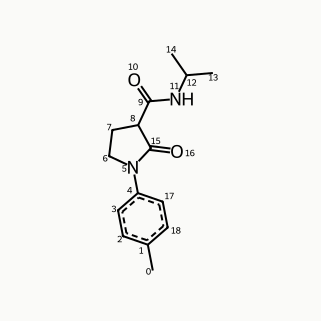 Cc1ccc(N2CCC(C(=O)NC(C)C)C2=O)cc1